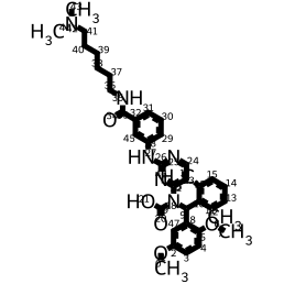 COc1ccc(OC)c(C(c2c(C)cccc2C)N(C(=O)O)c2ccnc(Nc3cccc(C(=O)NCCCCCCN(C)C)c3)n2)c1